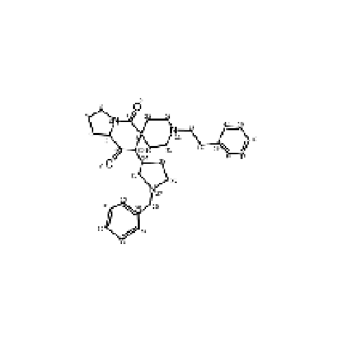 O=C1C2CCCN2C(=O)C2(CCN(CCc3ccccc3)CC2)C1C1CCN(Cc2ccccc2)C1